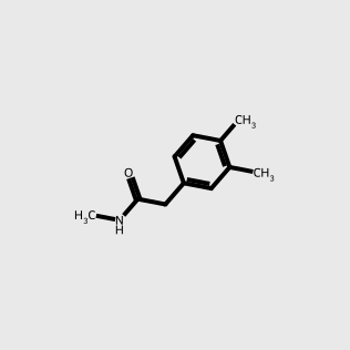 CNC(=O)Cc1ccc(C)c(C)c1